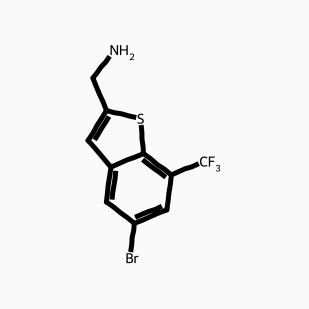 NCc1cc2cc(Br)cc(C(F)(F)F)c2s1